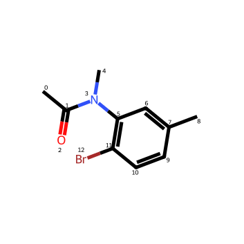 CC(=O)N(C)c1cc(C)ccc1Br